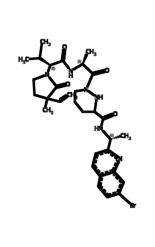 C=CC1(C)CCN([C@H](C(=O)N[C@@H](C)C(=O)N2CCCC(C(=O)N[C@H](C)c3ccc4ccc(Br)cc4n3)N2)C(C)C)C1=O